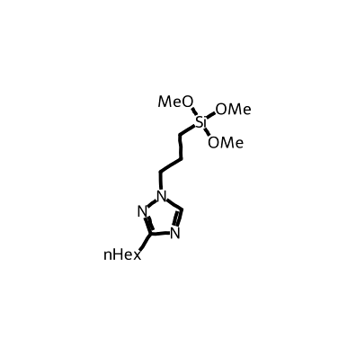 CCCCCCc1ncn(CCC[Si](OC)(OC)OC)n1